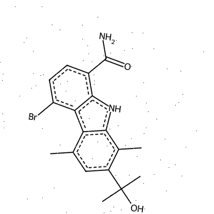 Cc1c(C(C)(C)O)cc(C)c2c1[nH]c1c(C(N)=O)ccc(Br)c12